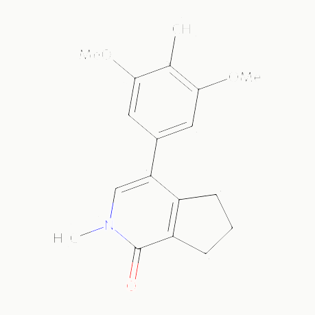 COc1cc(-c2cn(C)c(=O)c3c2CCC3)cc(OC)c1C